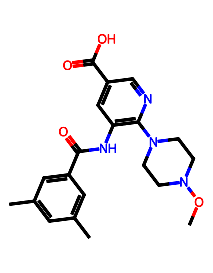 CON1CCN(c2ncc(C(=O)O)cc2NC(=O)c2cc(C)cc(C)c2)CC1